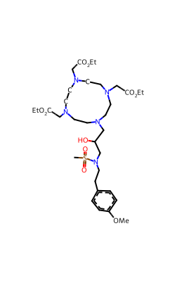 CCOC(=O)CN1CCN(CC(=O)OCC)CCN(CC(O)CN(CCc2ccc(OC)cc2)S(C)(=O)=O)CCN(CC(=O)OCC)CC1